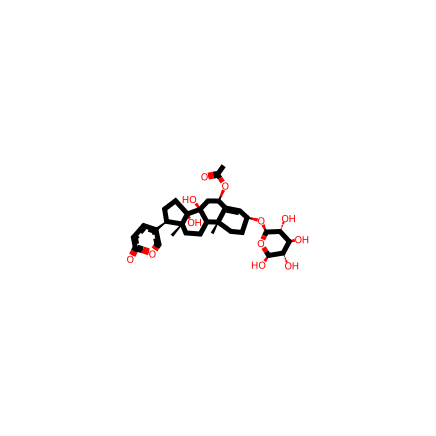 CC(=O)O[C@@H]1C[C@]2(O)C(CC[C@]3(C)[C@@H](c4ccc(=O)oc4)CC[C@]23O)[C@@]2(C)CC[C@H](O[C@@H]3O[C@H](O)[C@@H](O)[C@H](O)[C@H]3O)C=C12